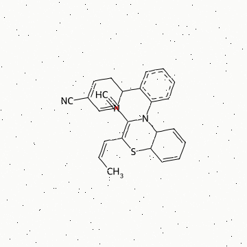 C#CC1=C(/C=C\C)SC2C=CC=CC2N1c1ccccc1C1CC=C(C#N)C=N1